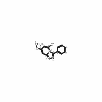 O=C(O)Oc1cc(Cl)n2c(-c3ccccc3)nnc2c1